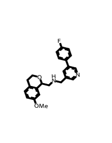 COc1ccc2c(c1)C(CNCc1cncc(-c3ccc(F)cc3)c1)OCC2